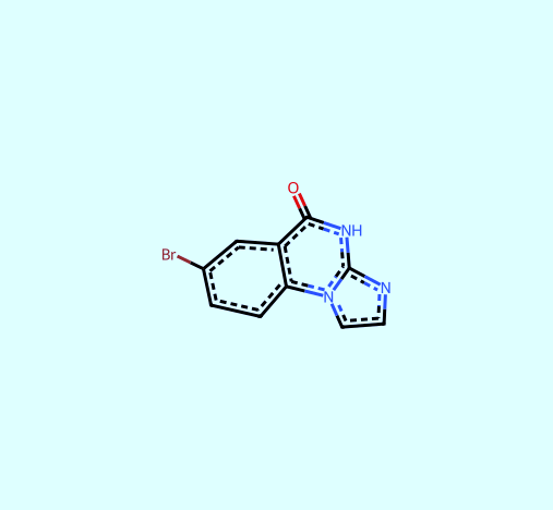 O=c1[nH]c2nccn2c2ccc(Br)cc12